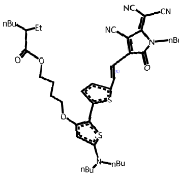 CCCCC(CC)C(=O)OCCCCOc1cc(N(CCCC)CCCC)sc1-c1ccc(/C=C/C2=C(C#N)C(=C(C#N)C#N)N(CCCC)C2=O)s1